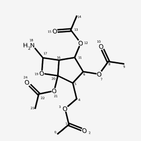 CC(=O)OCC1C(OC(C)=O)C(OC(C)=O)C2C(N)OC12OC(C)=O